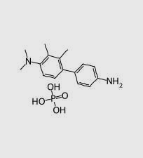 Cc1c(-c2ccc(N)cc2)ccc(N(C)C)c1C.O=P(O)(O)O